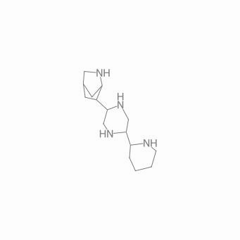 C1CCC(C2CNC(C3CC4CNC3C4)CN2)NC1